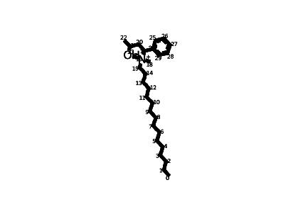 CCCCCCCCCCCCCCCC[N+](C)(C)C(CC(C)O)c1ccccc1